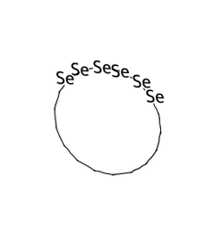 C1CCCCCC[Se][Se][Se][Se][Se][Se]CCCCC1